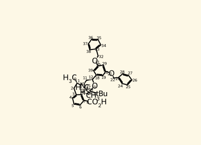 C[C@H](Cc1cccc(C(=O)O)c1)NC[C@H](O[Si](C)(C)C(C)(C)C)c1cc(OCc2ccccc2)cc(OCc2ccccc2)c1